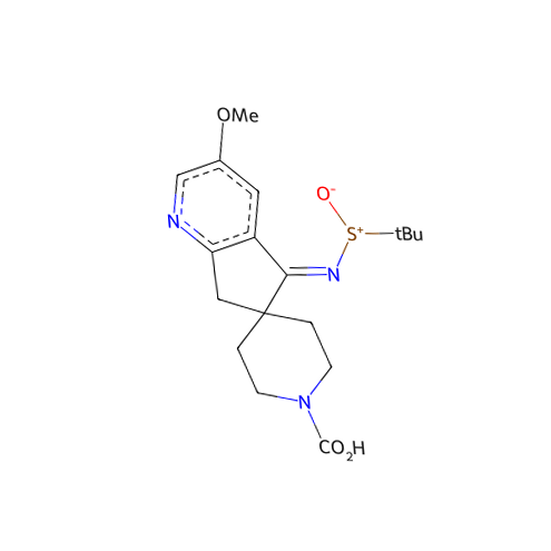 COc1cnc2c(c1)/C(=N\[S+]([O-])C(C)(C)C)C1(CCN(C(=O)O)CC1)C2